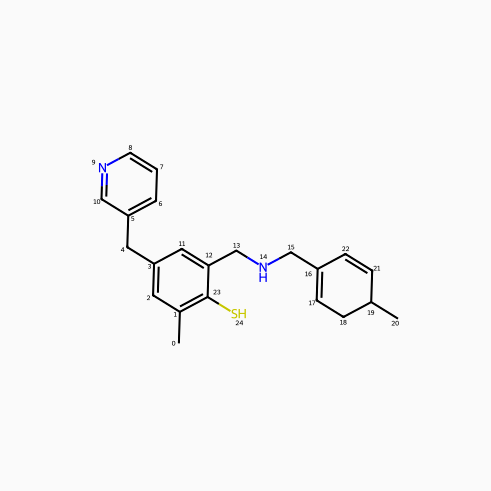 Cc1cc(Cc2cccnc2)cc(CNCC2=CCC(C)C=C2)c1S